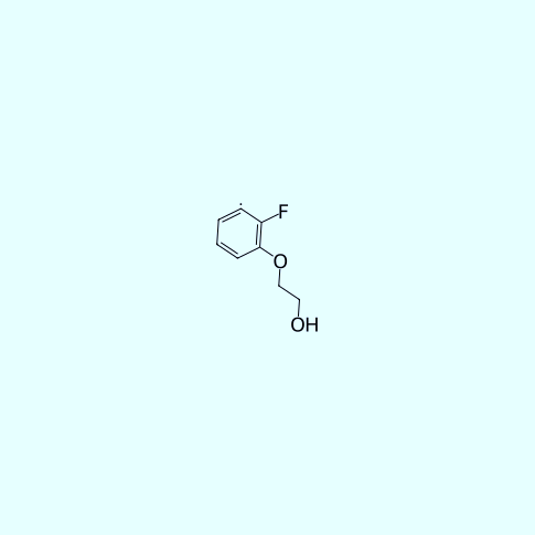 OCCOc1ccc[c]c1F